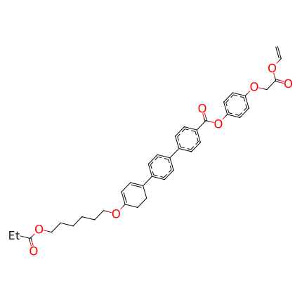 C=COC(=O)COc1ccc(OC(=O)c2ccc(-c3ccc(C4=CC=C(OCCCCCCOC(=O)CC)CC4)cc3)cc2)cc1